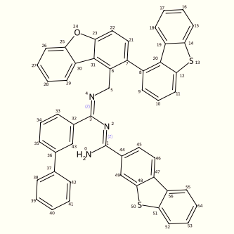 N/C(=N\C(=N/Cc1c(-c2cccc3sc4ccccc4c23)ccc2oc3ccccc3c12)c1cccc(-c2ccccc2)c1)c1ccc2c(c1)sc1ccccc12